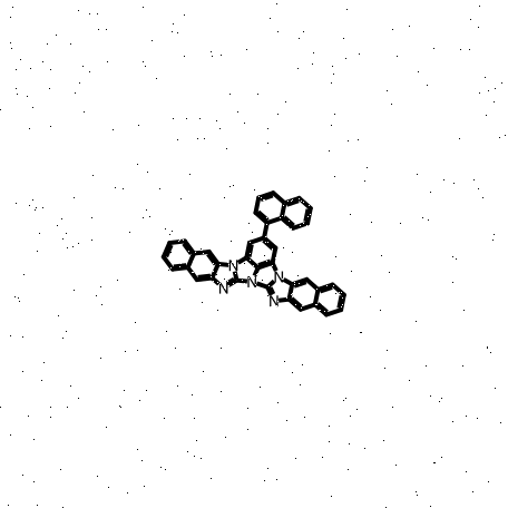 c1ccc2cc3c(cc2c1)nc1n3c2cc(-c3cccc4ccccc34)cc3c2n1c1nc2cc4ccccc4cc2n31